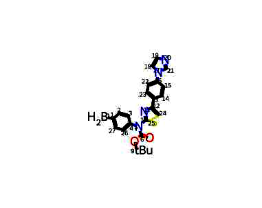 Bc1ccc(N(C(=O)OC(C)(C)C)c2nc(-c3ccc(-n4ccnc4)cc3)cs2)cc1